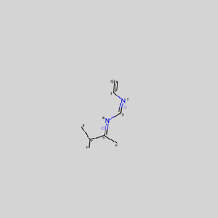 C=C/N=C\N=C(/C)C(C)C